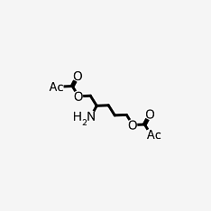 CC(=O)C(=O)OCCCC(N)COC(=O)C(C)=O